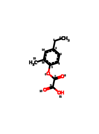 CCc1ccc(OC(=O)C(=O)O)c(C)c1